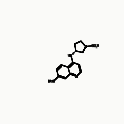 COc1ccc2c(N[C@@H]3CCN(C(=O)O)C3)ccnc2c1